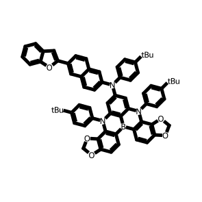 CC(C)(C)c1ccc(N(c2cc3c4c(c2)N(c2ccc(C(C)(C)C)cc2)c2c(ccc5c2OCO5)B4c2ccc4c(c2N3c2ccc(C(C)(C)C)cc2)OCO4)c2ccc3cc(-c4cc5ccccc5o4)ccc3c2)cc1